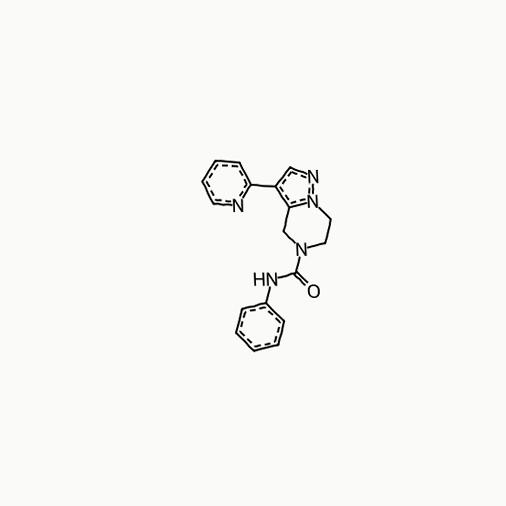 O=C(Nc1ccccc1)N1CCn2ncc(-c3ccccn3)c2C1